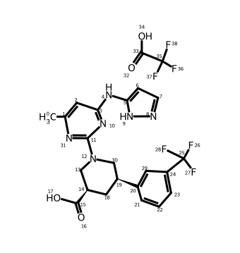 Cc1cc(Nc2ccn[nH]2)nc(N2C[C@H](C(=O)O)C[C@H](c3cccc(C(F)(F)F)c3)C2)n1.O=C(O)C(F)(F)F